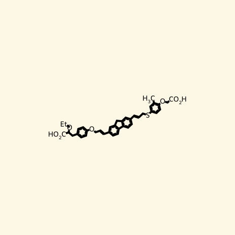 CCOC(Cc1ccc(OCC=Cc2ccc3c(c2)Cc2cc(C=CCSc4ccc(OCC(=O)O)c(C)c4)ccc2-3)cc1)C(=O)O